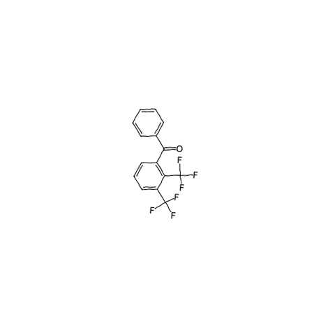 O=C(c1ccccc1)c1cccc(C(F)(F)F)c1C(F)(F)F